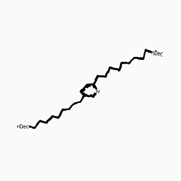 CCCCCCCCCCCCCCCCCCCc1ccc(CCCCCCCCCCCCCCCCCCC)nc1